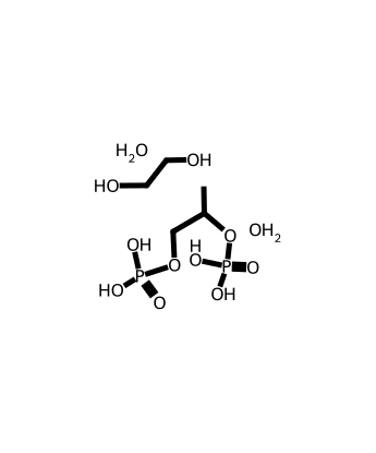 CC(COP(=O)(O)O)OP(=O)(O)O.O.O.OCCO